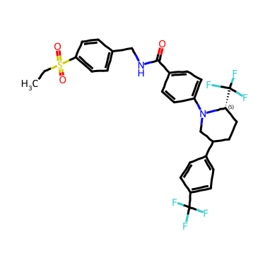 CCS(=O)(=O)c1ccc(CNC(=O)c2ccc(N3CC(c4ccc(C(F)(F)F)cc4)CC[C@H]3C(F)(F)F)cc2)cc1